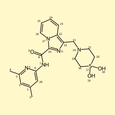 Cc1cc(C)nc(NC(=O)c2nc(CN3CCS(O)(O)CC3)c3ccccn23)c1